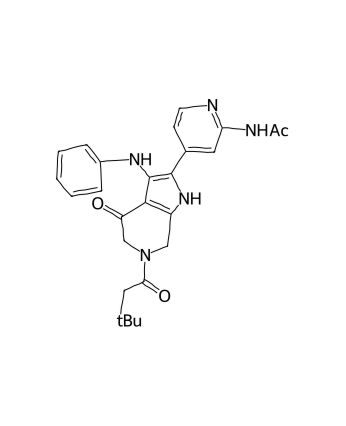 CC(=O)Nc1cc(-c2[nH]c3c(c2Nc2ccccc2)C(=O)CN(C(=O)CC(C)(C)C)C3)ccn1